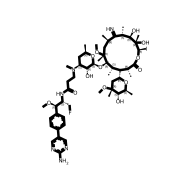 CO[C@H](c1ccc(-c2cnc(N)nc2)cc1)[C@@H](CF)NC(=O)CCN(C)[C@H]1C[C@@H](C)O[C@@H](O[C@@H]2[C@@H](C)C([C@H]3C[C@@](C)(OC)[C@@H](O)[C@H](C)O3)[C@@H](C)C(=O)O[C@H](I)[C@@](C)(O)[C@H](O)[C@@H](C)C(=N)[C@H](C)C[C@@]2(C)OC)[C@@H]1O